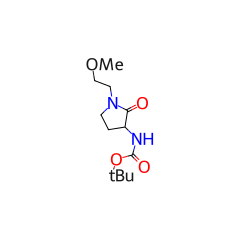 COCCN1CCC(NC(=O)OC(C)(C)C)C1=O